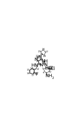 Cl.Cl.N[C@H]1CC[C@H](Nc2nc(NCc3ccccc3F)c3ncn(C4CCCC4)c3n2)CC1